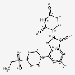 CCS(=O)(=O)N1CCN(c2cc(F)cc3c2CN(C2CCC(=O)NC2=O)C3=O)CC1